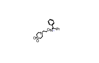 CC(C)/C(=N/OCCN1CCS(=O)(=O)CC1)c1ccccc1